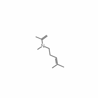 C=C(C)N(C)CCC=C(C)C